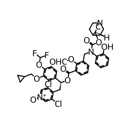 O=COc1c(CN(C(=O)O[C@H]2CN3CCC2CC3)c2ccccc2O)cccc1C(=O)O[C@@H](Cc1c(Cl)c[n+]([O-])cc1Cl)c1ccc(OC(F)F)c(OCC2CC2)c1